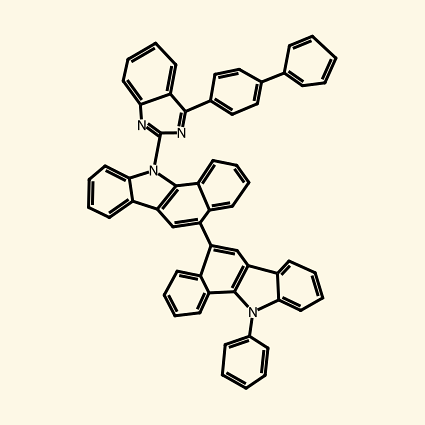 c1ccc(-c2ccc(-c3nc(-n4c5ccccc5c5cc(-c6cc7c8ccccc8n(-c8ccccc8)c7c7ccccc67)c6ccccc6c54)nc4ccccc34)cc2)cc1